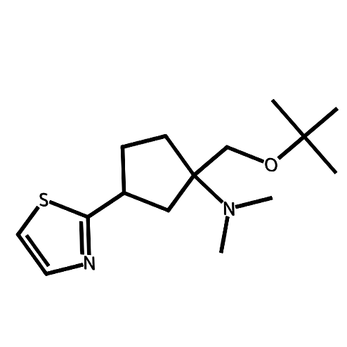 CN(C)C1(COC(C)(C)C)CCC(c2nccs2)C1